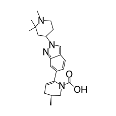 C[C@H]1CC=C(c2ccc3cn(C4CCN(C)C(C)(C)C4)nc3c2)N(C(=O)O)C1